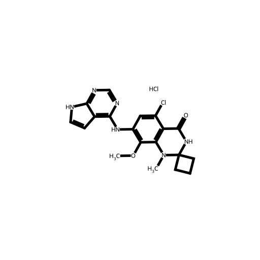 COc1c(Nc2ncnc3[nH]ccc23)cc(Cl)c2c1N(C)C1(CCC1)NC2=O.Cl